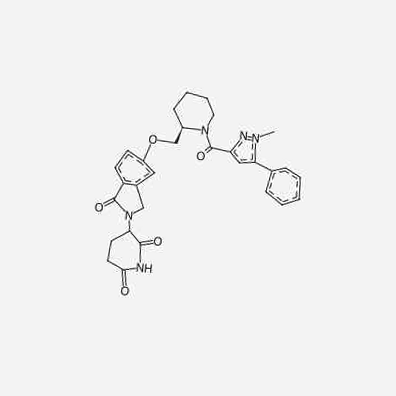 Cn1nc(C(=O)N2CCCC[C@@H]2COc2ccc3c(c2)CN(C2CCC(=O)NC2=O)C3=O)cc1-c1ccccc1